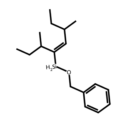 CCC(C)C=C([SiH2]OCc1ccccc1)C(C)CC